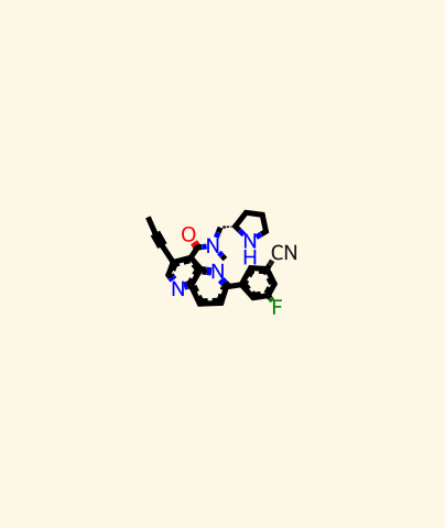 CC#Cc1cnc2ccc(-c3cc(F)cc(C#N)c3)nc2c1C(=O)N(C)C[C@@H]1CCCN1